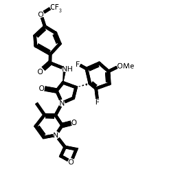 COc1cc(F)c([C@@H]2CN(c3c(C)ccn(C4COC4)c3=O)C(=O)[C@H]2NC(=O)c2ccc(OC(F)(F)F)cc2)c(F)c1